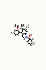 Cc1ccc(-c2c3c(cc(C)c2C(OC(C)(C)C)C(=O)O)N(C(=O)c2cccc(F)c2)CC3)cc1